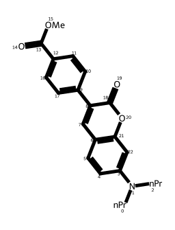 CCCN(CCC)c1ccc2cc(-c3ccc(C(=O)OC)cc3)c(=O)oc2c1